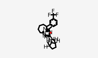 Cc1cc(N2C[C@H]3CC[C@@H](C2)[C@@H]3Nc2nc3n(n2)CCCCC3c2cccc(C(F)(F)F)c2)ncn1